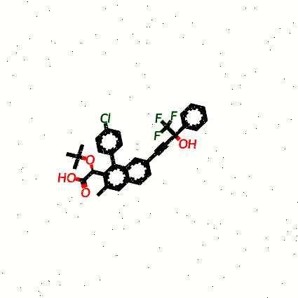 Cc1cc2ccc(C#CC(O)(c3ccccc3)C(F)(F)F)cc2c(-c2ccc(Cl)cc2)c1[C@H](OC(C)(C)C)C(=O)O